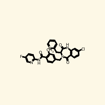 Cc1cc(CN2C(=O)c3ccc(Cl)cc3NC(=O)C2Cc2ccccn2)ccc1C(=O)Nc1ccc(F)cn1